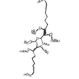 CCCCCCCCCCCCCCCC(OCCCC)=C(OCCCC)C(OC)OC(OC)C(OCCCC)=C(CCCCCCCCCCCCCCC)OCCCC